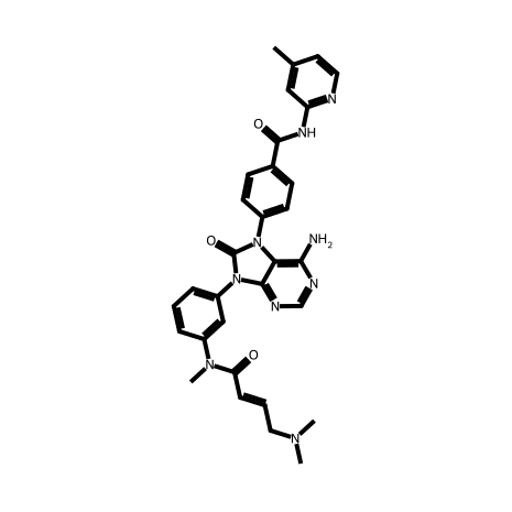 Cc1ccnc(NC(=O)c2ccc(-n3c(=O)n(-c4cccc(N(C)C(=O)C=CCN(C)C)c4)c4ncnc(N)c43)cc2)c1